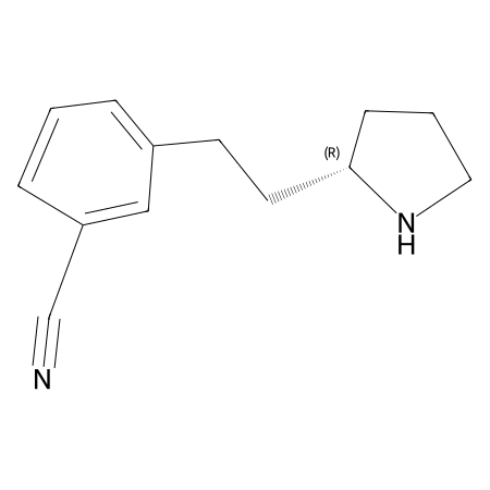 N#Cc1cccc(CC[C@@H]2CCCN2)c1